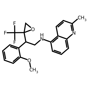 COc1ccccc1C(CNc1cccc2nc(C)ccc12)C1(C(F)(F)F)CO1